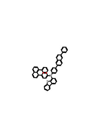 c1ccc(-c2ccc3cc(-c4ccc(N(c5ccc(-c6cccc7cccc(-c8ccccc8)c67)cc5)c5cccc6c5sc5ccccc56)cc4)ccc3c2)cc1